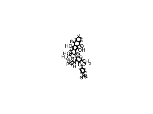 CCC1(O)Cc2c(O)c3c(c(O)c2[C@@H](O[C@H]2C[C@H](NC(=O)C(F)(F)F)[C@@H](OC(=O)c4ccc([N+](=O)[O-])cc4)[C@@H](C)O2)C1)C(=O)c1ccccc1C3=O